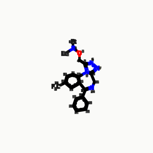 CCN(CC)OCc1nnc2n1-c1ccc(C(F)(F)F)cc1C(c1ccccc1)=NC2